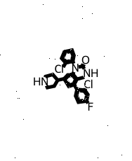 O=C1NCc2c(-c3ccc(F)cc3Cl)cc(C3CCNCC3)cc2N1c1ccccc1Cl